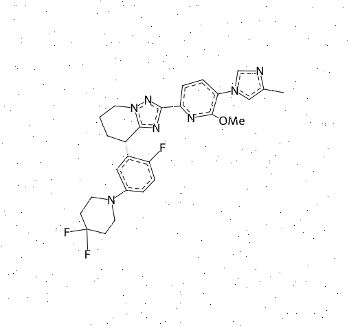 COc1nc(-c2nc3n(n2)CCC[C@H]3c2cc(N3CCC(F)(F)CC3)ccc2F)ccc1-n1cnc(C)c1